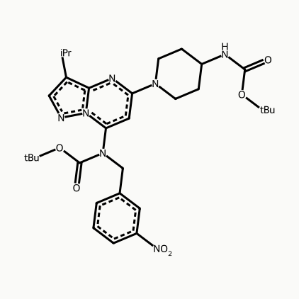 CC(C)c1cnn2c(N(Cc3cccc([N+](=O)[O-])c3)C(=O)OC(C)(C)C)cc(N3CCC(NC(=O)OC(C)(C)C)CC3)nc12